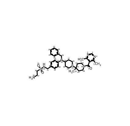 Cc1ncnc(C)c1C(=O)N1CCC(C)(N2CCC(N(Cc3ccccc3)c3ccc(CNS(=O)(=O)CCN)cc3)CC2)CC1